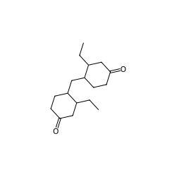 CCC1CC(=O)CCC1CC1CCC(=O)CC1CC